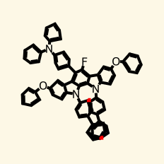 Fc1c(-c2ccc(N(c3ccccc3)c3ccccc3)cc2)c2c3cc(Oc4ccccc4)ccc3n(-c3ccc(-c4ccccc4)cc3)c2c2c1c1cc(Oc3ccccc3)ccc1n2-c1ccc(-c2ccccc2)cc1